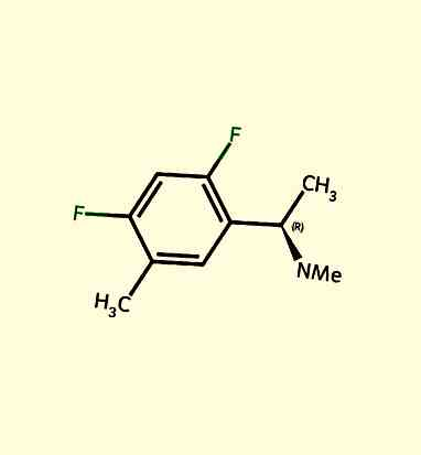 CN[C@H](C)c1cc(C)c(F)cc1F